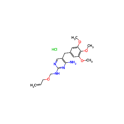 C=CCOCNc1ncc(Cc2cc(OC)c(OC)c(OC)c2)c(N)n1.Cl